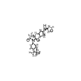 CC1(C)C(=O)N(c2ccc(C3(C(F)(F)F)CC3)cc2)C(=O)N1Cc1ccnc(N[C@@H]2CCOC2)c1